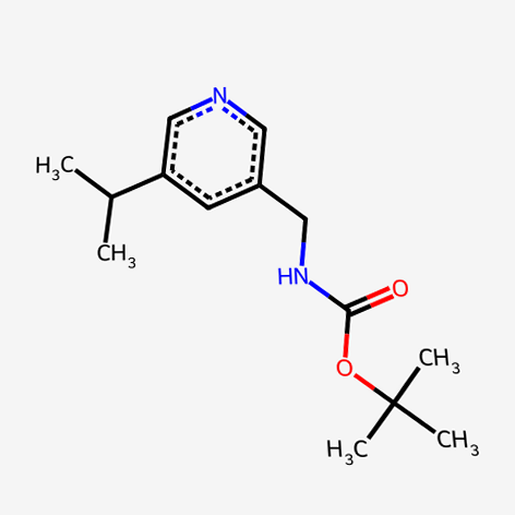 CC(C)c1cncc(CNC(=O)OC(C)(C)C)c1